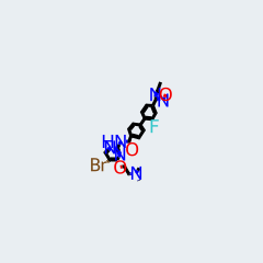 Cc1nc(-c2ccc(-c3ccc(C(=O)Nc4ncc(Br)c(OCCN(C)C)n4)cc3)c(F)c2)no1